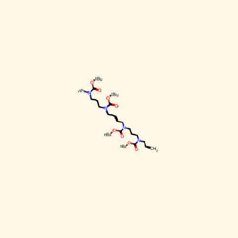 C=CCN(CCCN(CC=CCN(CCCN(CCC)C(=O)OC(C)(C)C)C(=O)OC(C)(C)C)C(=O)OC(C)(C)C)C(=O)OC(C)(C)C